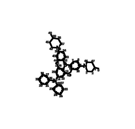 CC1CCN(c2ccc3c(c2)Sc2cc(N(c4ccccc4)c4ccccc4)cc4c2B3c2ccc(N3CCC(C)CC3)cc2S4)CC1